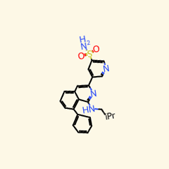 CC(C)CNc1nc(-c2cncc(S(N)(=O)=O)c2)cc2cccc(-c3ccccc3)c12